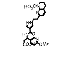 CCOC(=O)CC(NC(=O)c1cnn(CCc2ccc3c(n2)N(C(=O)O)CCC3)c1)c1ccc(OC)nc1